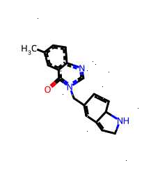 Cc1ccc2ncn(CC3=CC4=CCNC4C=C3)c(=O)c2c1